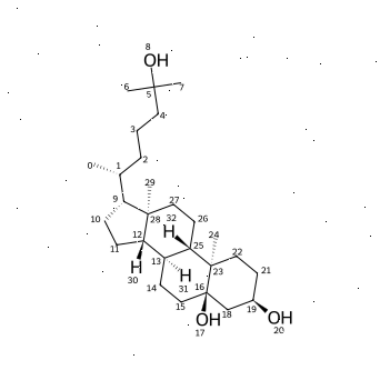 C[C@H](CCCC(C)(C)O)[C@H]1CC[C@H]2[C@@H]3CC[C@@]4(O)C[C@H](O)CC[C@]4(C)[C@H]3CC[C@]12C